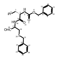 CC(C)C[C@H](NC(=O)OCc1ccccc1)C(=O)NC(C=O)CSCc1ccccc1